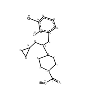 CC(C)COC(=O)N1CCC(N(Cc2cccc(Cl)c2Cl)CC2CC2)CC1